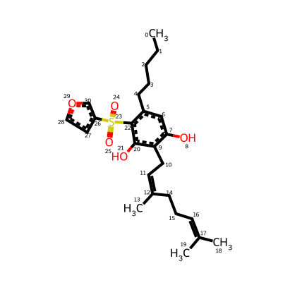 CCCCCc1cc(O)c(CC=C(C)CCC=C(C)C)c(O)c1S(=O)(=O)c1ccoc1